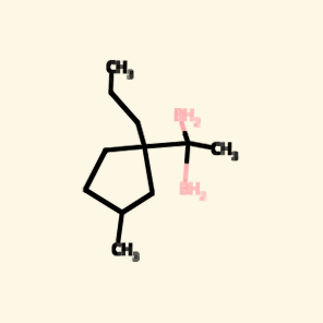 BC(B)(C)C1(CCC)CCC(C)C1